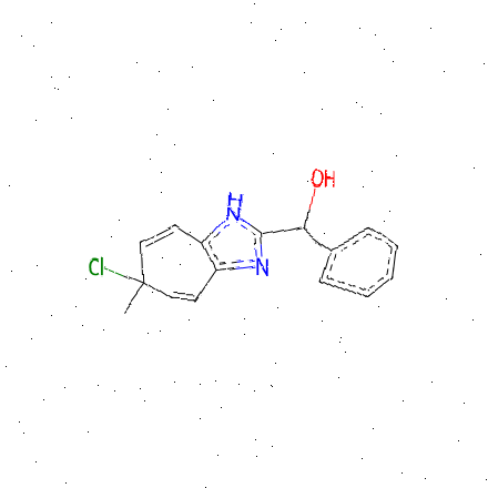 CC1(Cl)C=Cc2nc(C(O)c3ccccc3)[nH]c2C=C1